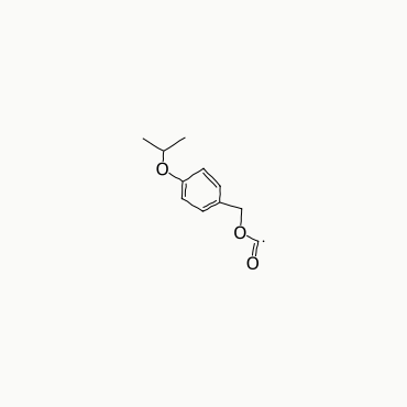 CC(C)Oc1ccc(CO[C]=O)cc1